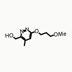 COCCCOc1cc(C)c(CO)nn1